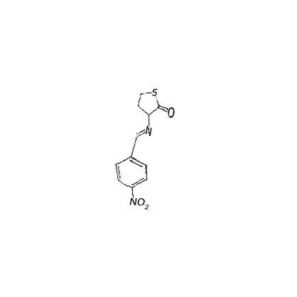 O=C1SCCC1N=Cc1ccc([N+](=O)[O-])cc1